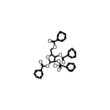 C[C@]1(OC(=O)c2ccccc2)C(OC(=O)c2ccccc2)OC(COC(=O)c2ccccc2)C1OC(=O)c1ccccc1